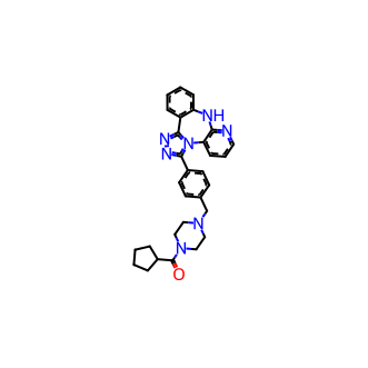 O=C(C1CCCC1)N1CCN(Cc2ccc(-c3nnc4n3-c3cccnc3Nc3ccccc3-4)cc2)CC1